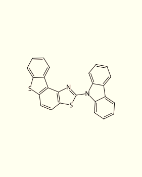 c1ccc2c(c1)sc1ccc3sc(-n4c5ccccc5c5ccccc54)nc3c12